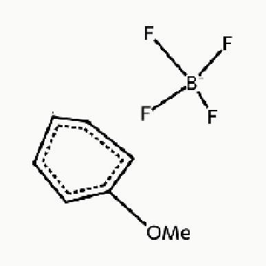 COc1cc[c]cc1.F[B-](F)(F)F